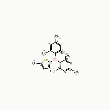 Cc1cc(C)c(B(c2ccc(C)s2)c2c(C)cc(C)cc2C)c(C)c1